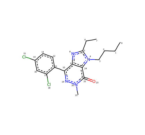 CCCCn1c(CC)nc2c(-c3ccc(Cl)cc3Cl)nn(C)c(=O)c21